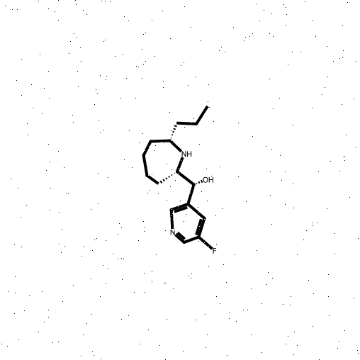 CCC[C@H]1CCCC[C@@H]([C@H](O)c2cncc(F)c2)N1